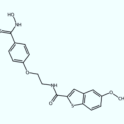 COc1ccc2sc(C(=O)NCCOc3ccc(C(=S)NO)cc3)cc2c1